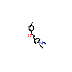 CCN(CC)c1ccc(C=CC(=O)c2ccc(C)cc2)cc1